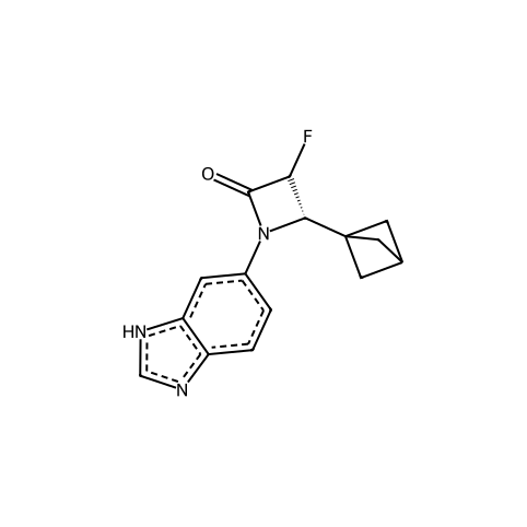 O=C1C(F)[C@H](C23CC(C2)C3)N1c1ccc2nc[nH]c2c1